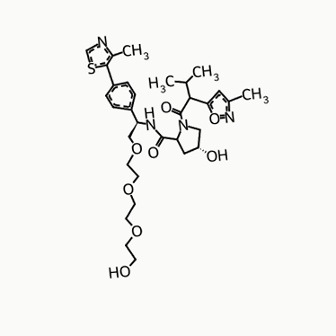 Cc1cc(C(C(=O)N2C[C@H](O)CC2C(=O)N[C@@H](COCCOCCOCCO)c2ccc(-c3scnc3C)cc2)C(C)C)on1